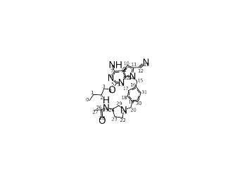 CCCCOc1nc(N)c2cc(C#N)n(Cc3ccc(CN4CCC(NC(C)=O)C4)cc3)c2n1